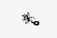 COC(=O)C(N)(C(=O)OCc1ccccc1)P(=O)(OC)OC